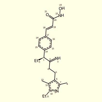 CC[C@H](C(=N)CCc1c(C)nn(CC)c1C)c1ccc(/C=C/C(=O)NO)cc1